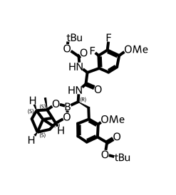 COc1ccc(C(NC(=O)OC(C)(C)C)C(=O)N[C@@H](Cc2cccc(C(=O)OC(C)(C)C)c2OC)B2O[C@@H]3C[C@@H]4C[C@@H](C4(C)C)[C@]3(C)O2)c(F)c1F